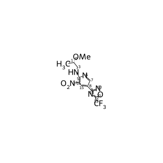 CO[C@@H](C)CNc1ncc(-c2noc(C(F)(F)F)n2)cc1[N+](=O)[O-]